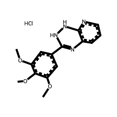 COc1cc(C2=Nc3cccnc3NN2)cc(OC)c1OC.Cl